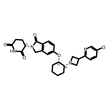 O=C1CC[C@H](N2Cc3cc(O[C@H]4CCCC[C@H]4N4CC(c5ccc(Cl)cn5)C4)ccc3C2=O)C(=O)N1